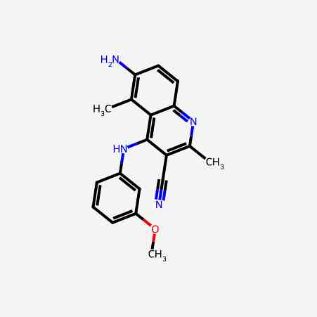 COc1cccc(Nc2c(C#N)c(C)nc3ccc(N)c(C)c23)c1